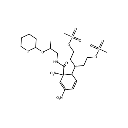 CC(CNC(=O)C1([N+](=O)[O-])C=C([N+](=O)[O-])C=CC1N(CCOS(C)(=O)=O)CCOS(C)(=O)=O)OC1CCCCO1